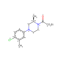 CCOC(=O)C(=O)N1CCN(c2ccc(Cl)c(C)c2)C[C@H]1C